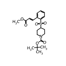 COC(=O)/C=C/c1ccccc1S(=O)(=O)C1CCN(C(=O)OC(C)(C)C)CC1